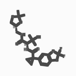 CC1(C)OC[C@@H](CNC(=O)[C@@H](NC(=O)C2(c3ccc4c(c3)OC(F)(F)O4)CC2)C(C)(C)S)O1